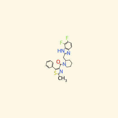 Cc1nc(C(=O)N2CCCCC2Cc2nc3ccc(F)c(F)c3[nH]2)c(-c2ccccc2)s1